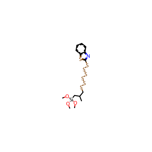 CO[Si](CC(C)CSSSSSSc1nc2ccccc2s1)(OC)OC